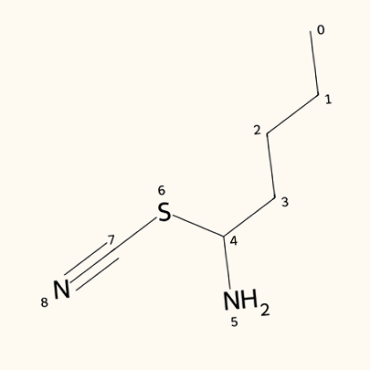 CCCCC(N)SC#N